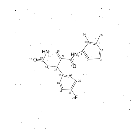 Cc1cccc(NC(=O)C2=CNC(=O)CC2c2ccc(F)cc2)c1C